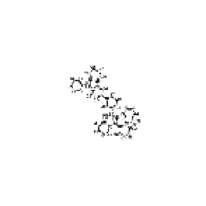 CC1(C)c2ccccc2-c2c(-c3nc(-c4cccc(-c5ccc6c(c5)c5ccccc5n6-c5ccccc5)c4)nc4ccccc34)cccc21